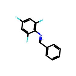 Fc1cc(F)c(/N=C/c2ccccc2)c(F)c1